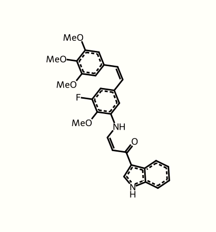 COc1cc(/C=C\c2cc(F)c(OC)c(N/C=C\C(=O)c3c[nH]c4ccccc34)c2)cc(OC)c1OC